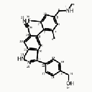 CNCc1cc(C)c(-c2cc3c(-c4ccc(CO)cc4)n[nH]c3cc2C#N)c(F)c1